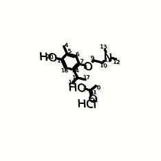 CC(=O)O.Cc1cc(OCCN(C)C)c(C(C)C)cc1O.Cl